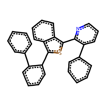 c1ccc(-c2ccccc2-c2sc(-c3ncccc3-c3ccccc3)c3ccccc23)cc1